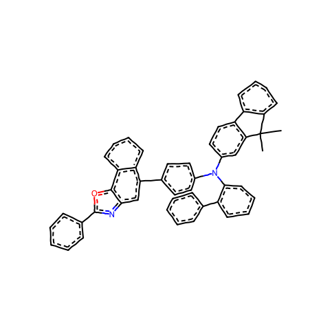 CC1(C)c2ccccc2-c2ccc(N(c3ccc(-c4cc5nc(-c6ccccc6)oc5c5ccccc45)cc3)c3ccccc3-c3ccccc3)cc21